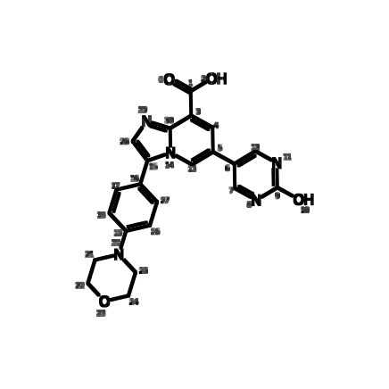 O=C(O)c1cc(-c2cnc(O)nc2)cn2c(-c3ccc(N4CCOCC4)cc3)cnc12